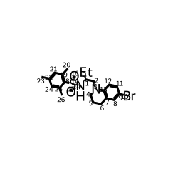 CC[C@@H](CN1CCCc2cc(Br)ccc21)NS(=O)(=O)c1c(C)cc(C)cc1C